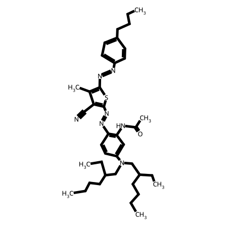 CCCCc1ccc(N=Nc2sc(N=Nc3ccc(N(CC(CC)CCCC)CC(CC)CCCC)cc3NC(C)=O)c(C#N)c2C)cc1